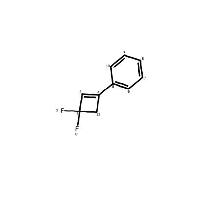 FC1(F)C=C(c2ccccc2)C1